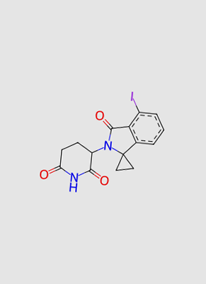 O=C1CCC(N2C(=O)c3c(I)cccc3C23CC3)C(=O)N1